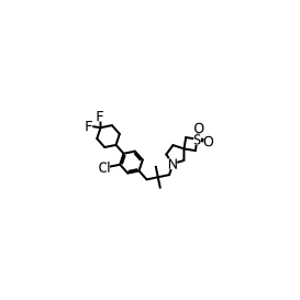 CC(C)(Cc1ccc(C2CCC(F)(F)CC2)c(Cl)c1)CN1CCC2(C1)CS(=O)(=O)C2